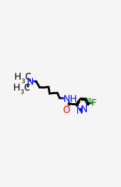 CN(C)CCCCCCNC(=O)c1ccc([18F])nn1